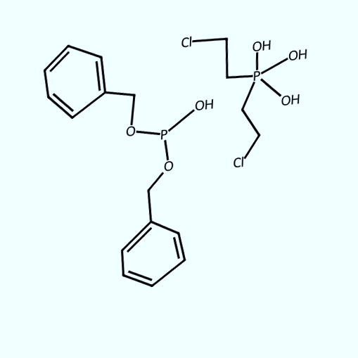 OP(O)(O)(CCCl)CCCl.OP(OCc1ccccc1)OCc1ccccc1